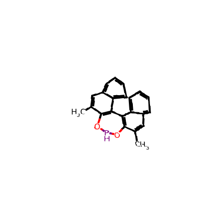 Cc1cc2ccccc2c2c1o[pH]oc1c(C)cc3ccccc3c12